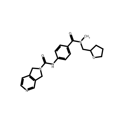 CN(CC1CCCO1)C(=O)c1ccc(NC(=O)N2Cc3ccncc3C2)cc1